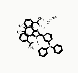 CC(C)c1cccc(C(C)C)c1C1=NC(=C2C=C(P(c3ccccc3)c3ccccc3)C=CC2)N=C1c1c(C(C)C)cccc1C(C)C.[Cl-].[Cl-].[Ni+2]